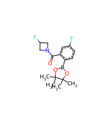 CC1(C)OB(c2ccc(F)cc2C(=O)N2CC(F)C2)OC1(C)C